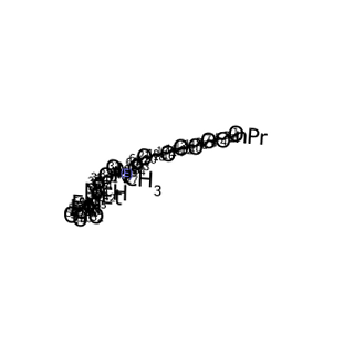 CCCOCCOCCOCCOCCOCCOCCCCOc1ccc(/C(C)=N/NC(=O)COc2ccc3nc4c(c(CC)c3c2)Cn2c-4cc3c(c2=O)COC(=O)[C@]3(I)CC)cc1